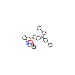 C=Nc1c(OCc2ccccc2)c(-c2ccc3cc(N(c4ccc(-c5ccccc5)cc4)c4cccc(-c5ccccc5)c4)ccc3c2)cc2ccccc12